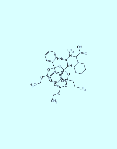 CCCC(OC(=O)OCC)(OP(=O)(NC(=N)N(C)C(C(=O)O)C1CCCCC1)OC(CCC)(OC(=O)OCC)c1ccccc1)c1ccccc1